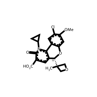 COc1cc2c(cc1Cl)-c1c(cc(C(=O)O)c(=O)n1C1CC1)[C@@H](C1(C)COC1)O2